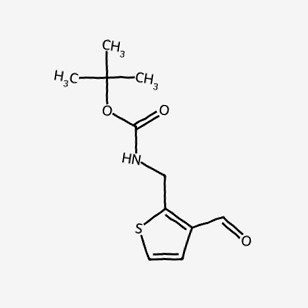 CC(C)(C)OC(=O)NCc1sccc1C=O